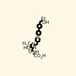 CC[C@@H](O)Cc1ccc(-c2ccc(N3CCC(Cc4nc(C)c(O)c(C(=O)NCC(=O)O)n4)CC3)cc2)cc1